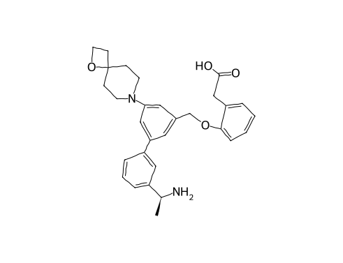 C[C@H](N)c1cccc(-c2cc(COc3ccccc3CC(=O)O)cc(N3CCC4(CCO4)CC3)c2)c1